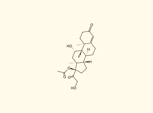 CC(=O)O[C@]1(C(=O)CO)CC[C@H]2[C@@H]3CCC4=CC(=O)CC[C@]4(C)[C@@]3(F)[C@@H](O)C[C@@]21C